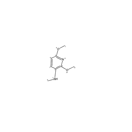 CNc1ccc(OC)nc1OC